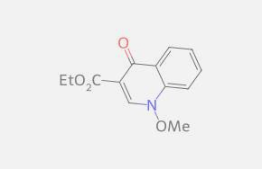 CCOC(=O)c1cn(OC)c2ccccc2c1=O